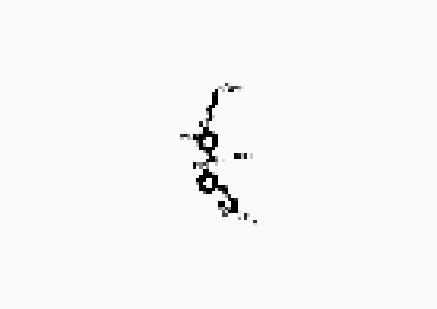 Br.CCCCCCCCCCCCCCOc1ccc(C(=O)Nc2cccc(CN3C=C(C)SC3)c2)cc1C(C)=O